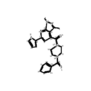 Cc1nn(C)c2nc(-c3cccs3)cc(C(=O)N3CCN(C(=O)c4ccccc4)CC3)c12